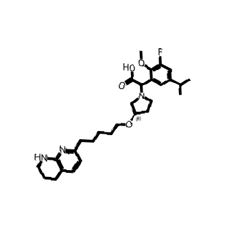 COc1c(F)cc(C(C)C)cc1C(C(=O)O)N1CC[C@@H](OCCCCCc2ccc3c(n2)NCCC3)C1